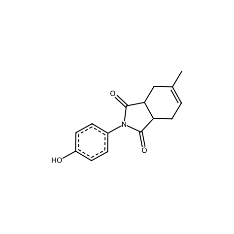 CC1=CCC2C(=O)N(c3ccc(O)cc3)C(=O)C2C1